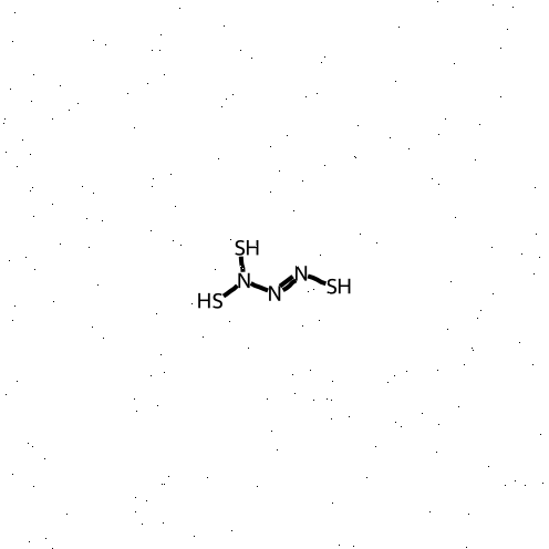 SN=NN(S)S